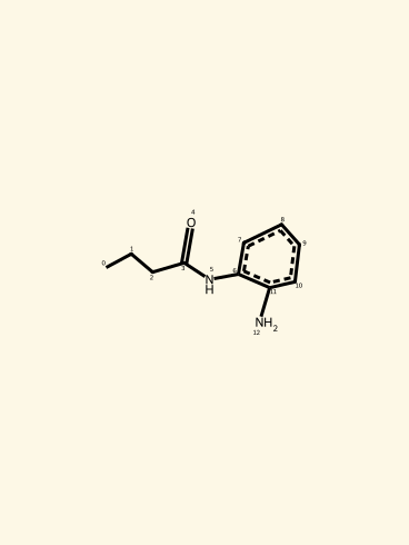 CCCC(=O)Nc1ccccc1N